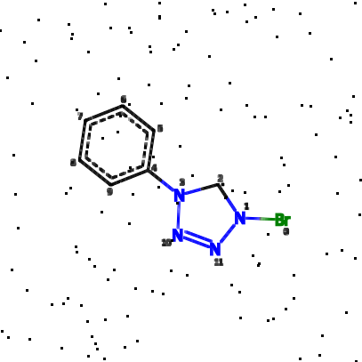 BrN1[CH]N(c2ccccc2)N=N1